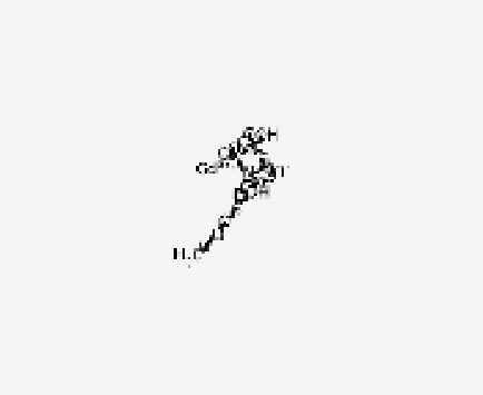 CCOCCOCCOCCOc1ccc(CC(C(=O)O)N2CCN(CC(=O)[O-])CCN(C(CO)C(=O)[O-])CCN(CC(=O)[O-])CC2)cc1.[Gd+3]